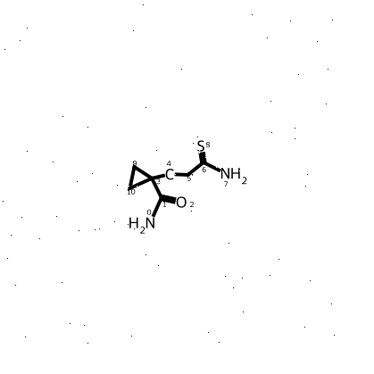 NC(=O)C1(C[CH]C(N)=S)CC1